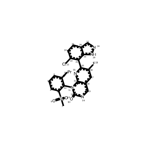 CC(C)c1cccc(S(C)(=O)=O)c1-n1c(=O)ncc2cc(F)c(-c3c(Cl)ccc4cn[nH]c34)nc21